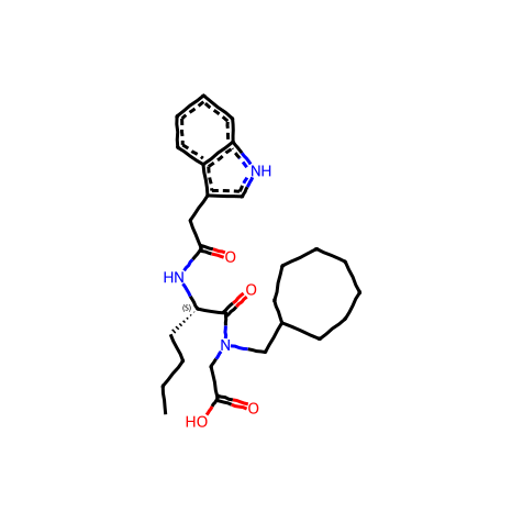 CCCC[C@H](NC(=O)Cc1c[nH]c2ccccc12)C(=O)N(CC(=O)O)CC1CCCCCCC1